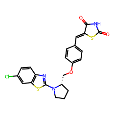 O=C1NC(=O)/C(=C/c2ccc(OC[C@@H]3CCCN3c3nc4ccc(Cl)cc4s3)cc2)S1